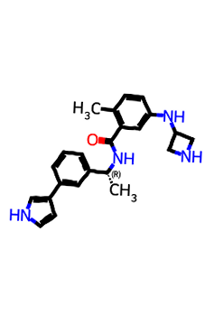 Cc1ccc(NC2CNC2)cc1C(=O)N[C@H](C)c1cccc(-c2cc[nH]c2)c1